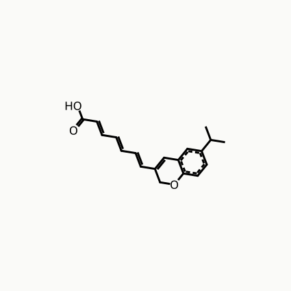 CC(C)c1ccc2c(c1)C=C(C=CC=CC=CC(=O)O)CO2